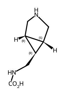 O=C(O)NC[C@H]1[C@@H]2CNC[C@@H]21